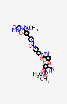 CCN(C)S(=O)(=O)Nc1ccc(F)c(Oc2ccc3ncn(C4CCC5(CCN(C(=O)CN6CCC(c7ccc8c(N9CCC(=O)NC9=O)nn(C)c8c7)CC6)CC5)C4)c(=O)c3c2)c1C#N